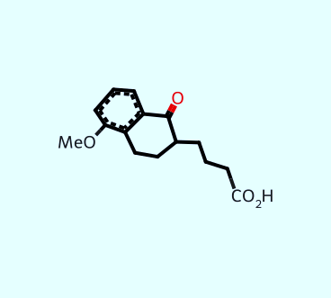 COc1cccc2c1CCC(CCCC(=O)O)C2=O